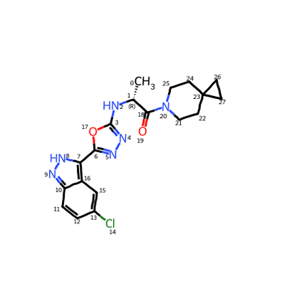 C[C@@H](Nc1nnc(-c2[nH]nc3ccc(Cl)cc23)o1)C(=O)N1CCC2(CC1)CC2